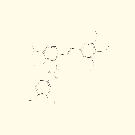 COc1ccc(S(=O)(=O)Nc2c(C=Cc3cc(OC)c(OC)c(OC)c3)ccc(OC)c2OC)cc1O